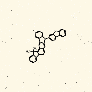 CC1(C)c2ccccc2-c2ccc3cc4c(cc3c21)c1ccccc1n4-c1ccc2c(c1)oc1ccccc12